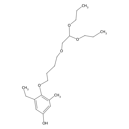 CCCOC(COCCCCOc1c(C)cc(O)cc1CC)OCCC